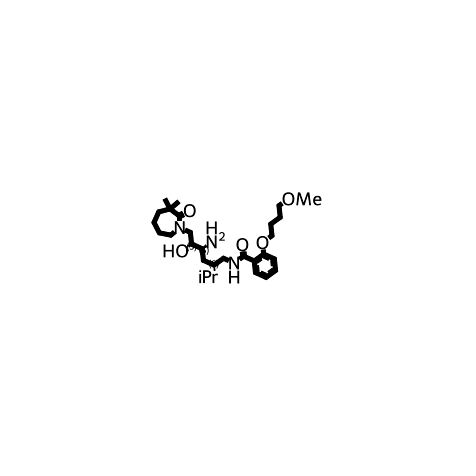 COCCCCOc1ccccc1C(=O)NC[C@@H](C[C@H](N)[C@@H](O)CN1CCCCC(C)(C)C1=O)C(C)C